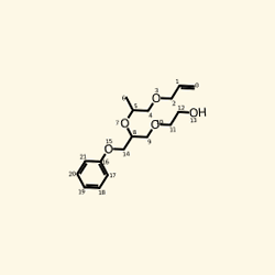 C=CCOCC(C)OC(COCCO)COc1ccccc1